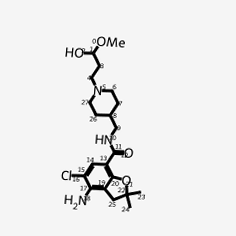 COC(O)CCN1CCC(CNC(=O)c2cc(Cl)c(N)c3c2OC(C)(C)C3)CC1